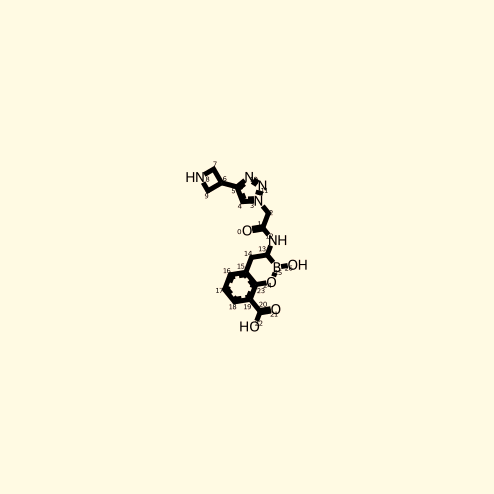 O=C(Cn1cc(C2CNC2)nn1)NC1Cc2cccc(C(=O)O)c2OB1O